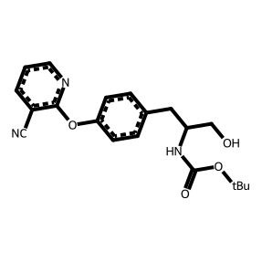 CC(C)(C)OC(=O)NC(CO)Cc1ccc(Oc2ncccc2C#N)cc1